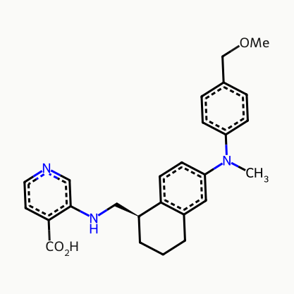 COCc1ccc(N(C)c2ccc3c(c2)CCC[C@H]3CNc2cnccc2C(=O)O)cc1